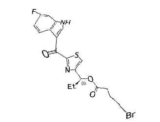 CC[C@H](OC(=O)CCCBr)c1csc(C(=O)c2c[nH]c3cc(F)ccc23)n1